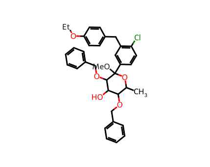 CCOc1ccc(Cc2cc(C3(OC)OC(C)C(OCc4ccccc4)C(O)C3OCc3ccccc3)ccc2Cl)cc1